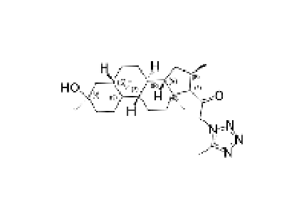 Cc1nnnn1CC(=O)[C@H]1[C@H](C)C[C@H]2[C@@H]3CC[C@H]4C[C@](C)(O)CC[C@]4(C)[C@H]3CC[C@@]21C